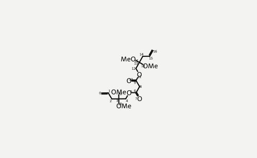 C=CCC(COC(=O)CC(=O)OCC(CC=C)(OC)OC)(OC)OC